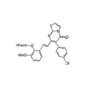 CCCCCOc1c(C=Cc2nc3sccn3c(=O)c2-c2ccc(C#N)cc2)cccc1OC